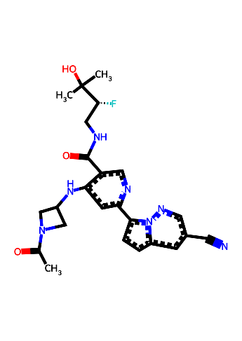 CC(=O)N1CC(Nc2cc(-c3ccc4cc(C#N)cnn34)ncc2C(=O)NC[C@@H](F)C(C)(C)O)C1